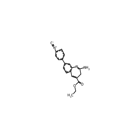 [C-]#[N+]c1ccc(-c2ccc3c(c2)N=C(N)CC(C(=O)OCC)=C3)cc1